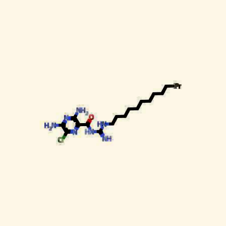 CC(C)CCCCCCCCCCNC(=N)NC(=O)c1nc(Cl)c(N)nc1N